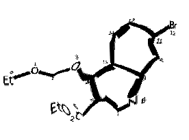 CCOCOc1c(C(=O)OCC)cnc2cc(Br)ccc12